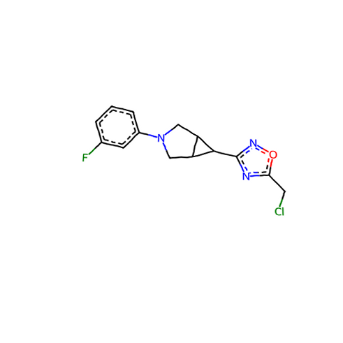 Fc1cccc(N2CC3C(C2)C3c2noc(CCl)n2)c1